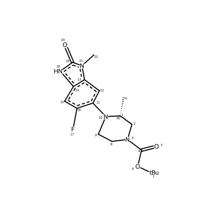 C[C@@H]1CN(C(=O)OC(C)(C)C)CCN1c1cc2c(cc1F)[nH]c(=O)n2C